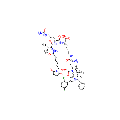 CC(C)[C@H](NC(=O)CCCCCN1C(=O)C=CC1=O)C(=O)N[C@@H](CCCNC(N)=O)C(=O)N[C@@H](CCCCNC(=O)[C@@H](N)CCN(C(=O)CO)[C@@H](c1cc(-c2cc(F)ccc2F)cn1Cc1ccccc1)C(C)(C)C)C(=O)O